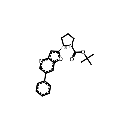 CC(C)(C)OC(=O)N1CCC[C@H]1c1cc2ncc(-c3ccccc3)cc2o1